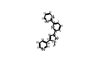 Cn1nc(-c2cccc(-c3ncccn3)n2)cc1-c1cccnc1